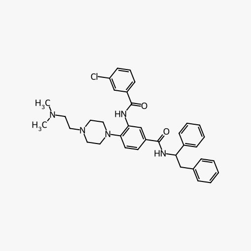 CN(C)CCN1CCN(c2ccc(C(=O)NC(Cc3ccccc3)c3ccccc3)cc2NC(=O)c2cccc(Cl)c2)CC1